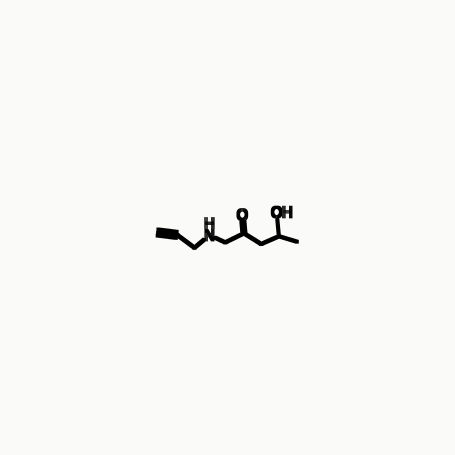 C#CCNCC(=O)CC(C)O